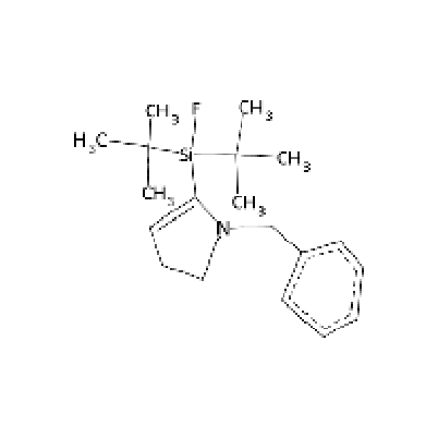 CC(C)(C)[Si](F)(C1=CCCN1Cc1ccccc1)C(C)(C)C